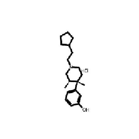 C[C@H]1CN(CCC2CCCC2)CC[C@]1(C)c1cccc(O)c1.Cl